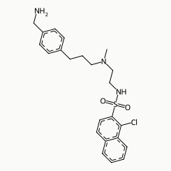 CN(CCCc1ccc(CN)cc1)CCNS(=O)(=O)c1ccc2ccccc2c1Cl